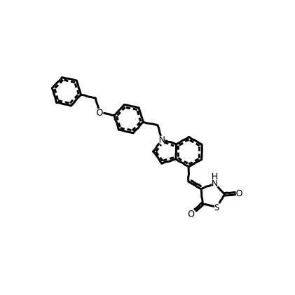 O=C1NC(=Cc2cccc3c2ccn3Cc2ccc(OCc3ccccc3)cc2)C(=O)S1